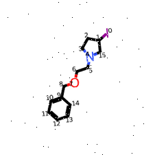 IC1CCN(CCOCc2ccccc2)C1